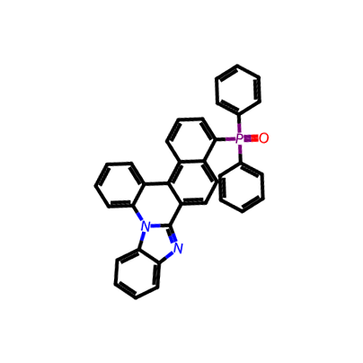 O=P(c1ccccc1)(c1ccccc1)c1cccc2c1ccc1c2c2ccccc2n2c3ccccc3nc12